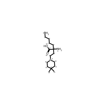 BCCCCC(N)(CCN1CCC(C)(C)CC1)C(=O)O